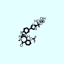 CN1C(=O)c2cccc(OC(F)F)c2[C@H]2C[C@H]1c1nc3ccc(-c4cnc(C(C)(C)OP(=O)(O)O)nc4)cc3n12